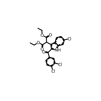 CCOC(=O)C(C(=O)OCC)c1c(C(=O)c2ccc(Cl)c(Cl)c2)[nH]c2cc(Cl)ccc12